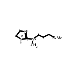 CNCCCN(C)C1=NCCN1